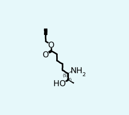 C#CCOC(=O)CCCC[C@H](N)[C@@H](C)O